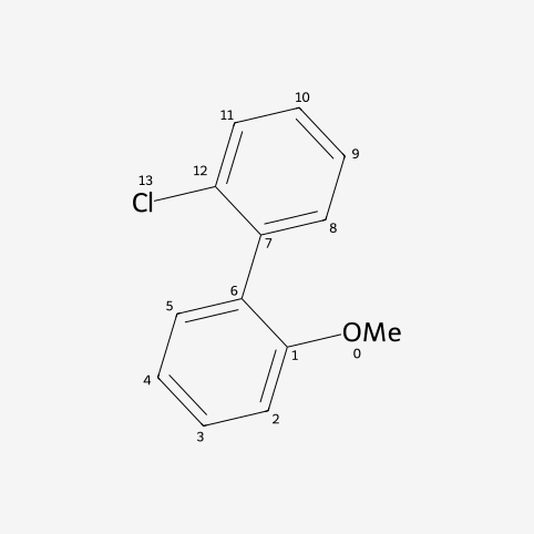 COc1ccccc1-c1ccccc1Cl